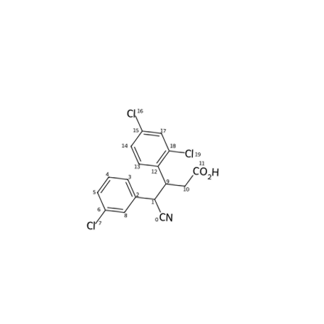 N#CC(c1cccc(Cl)c1)C(CC(=O)O)c1ccc(Cl)cc1Cl